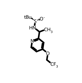 CC(N[S@+]([O-])C(C)(C)C)c1cc(OCC(F)(F)F)ccn1